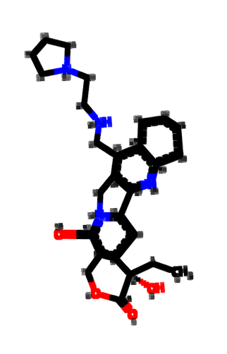 CC[C@@]1(O)C(=O)OCc2c1cc1n(c2=O)Cc2c-1nc1ccccc1c2CNCCN1CCCC1